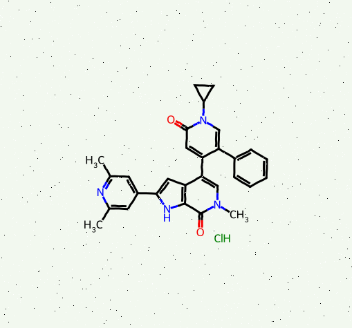 Cc1cc(-c2cc3c(-c4cc(=O)n(C5CC5)cc4-c4ccccc4)cn(C)c(=O)c3[nH]2)cc(C)n1.Cl